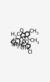 Cc1cc([C@@H](C)Oc2ccc(Cl)nc2S(N)(=O)=O)c2oc(-c3cnc4nccn4c3)c(C)c(=O)c2c1